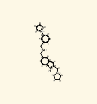 c1cc(CNCc2ccc3[nH]c(CN4CCCC4)cc3c2)cc(-n2cccn2)c1